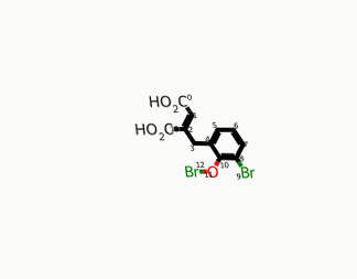 O=C(O)C=C(Cc1cccc(Br)c1OBr)C(=O)O